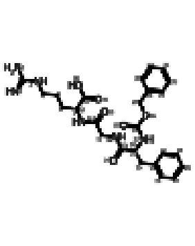 N=C(N)NCCC[C@H](NC(=O)CNC(=O)[C@H](Cc1ccccc1)NC(=O)OCc1ccccc1)C(=O)O